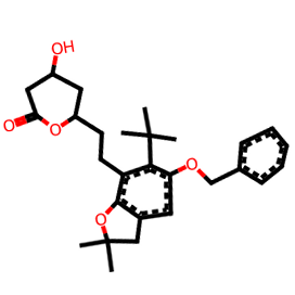 CC1(C)Cc2cc(OCc3ccccc3)c(C(C)(C)C)c(CCC3CC(O)CC(=O)O3)c2O1